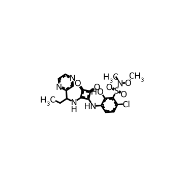 CCC(Nc1c(Nc2ccc(Cl)c(S(=O)(=O)N(C)OC)c2O)c(=O)c1=O)c1cnccn1